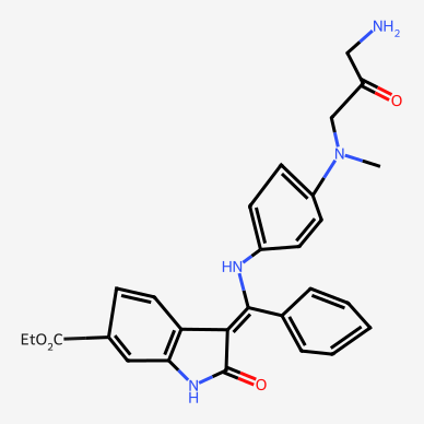 CCOC(=O)c1ccc2c(c1)NC(=O)C2=C(Nc1ccc(N(C)CC(=O)CN)cc1)c1ccccc1